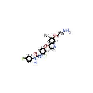 N#Cc1cc2c(Oc3ccc(NC(=O)Nc4ccc(F)cc4)c(F)c3)ccnc2cc1OCCCN